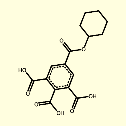 O=C(OC1CCCCC1)c1cc(C(=O)O)c(C(=O)O)c(C(=O)O)c1